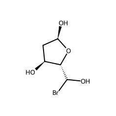 OC(Br)[C@H]1O[C@H](O)C[C@@H]1O